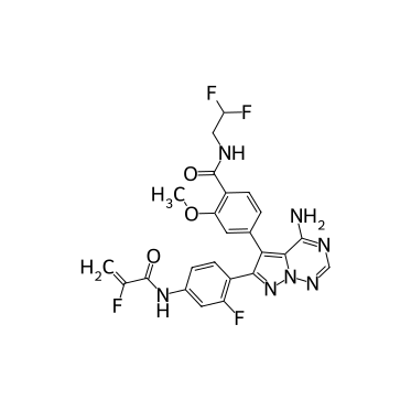 C=C(F)C(=O)Nc1ccc(-c2nn3ncnc(N)c3c2-c2ccc(C(=O)NCC(F)F)c(OC)c2)c(F)c1